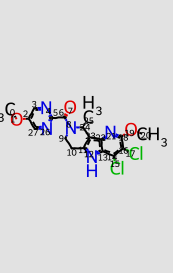 COc1cnc(C(=O)N2CCc3[nH]c4c(Cl)c(Cl)c(OC)nc4c3[C@@H]2C)nc1